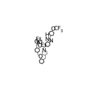 CCOP(=O)(Cc1ccc(COc2ccccc2CC2CCN(Cc3ccc4nc(-c5ccc(OC(F)(F)F)cc5)[nH]c4c3)CC2)cc1)OCC